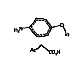 CC(=O)CC(=O)O.CCOc1ccc(N)cc1